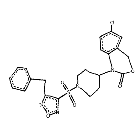 O=C1OCc2cc(Cl)ccc2N1C1CCN(S(=O)(=O)c2nonc2Cc2ccccc2)CC1